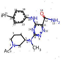 CC(=O)N1CCC[C@@H](N(C)c2nnc(C(N)=O)c(Nc3ccc(C(C)C)cc3)n2)C1